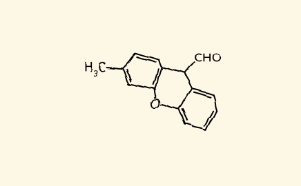 Cc1ccc2c(c1)Oc1ccccc1C2C=O